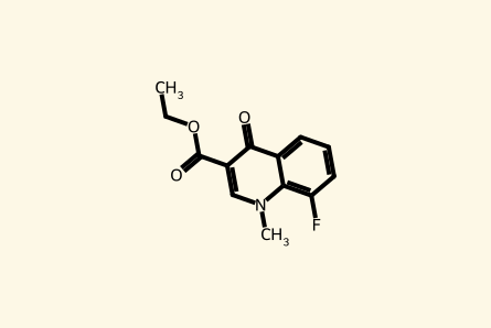 CCOC(=O)c1cn(C)c2c(F)cccc2c1=O